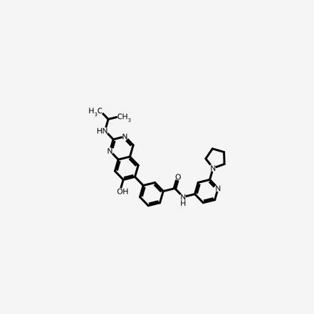 CC(C)Nc1ncc2cc(-c3cccc(C(=O)Nc4ccnc(N5CCCC5)c4)c3)c(O)cc2n1